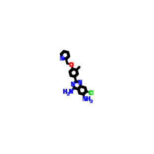 Cc1cc(-c2nc(N)c3cc(N)c(Cl)cc3n2)ccc1OCc1ccccn1